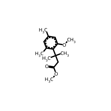 COC(=O)CC(C)(C)c1c(C)cc(C)cc1OC